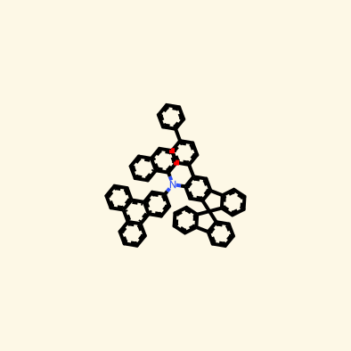 c1ccc(-c2ccc(-c3cc4c(cc3N(c3ccc5c6ccccc6c6ccccc6c5c3)c3cccc5ccccc35)C3(c5ccccc5-c5ccccc53)c3ccccc3-4)cc2)cc1